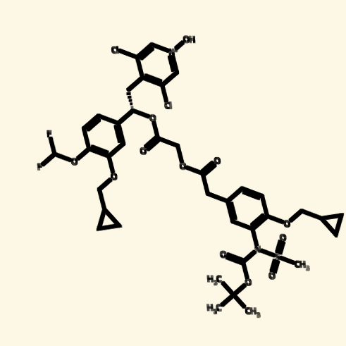 CC(C)(C)OC(=O)N(c1cc(CC(=O)OCC(=O)O[C@@H](Cc2c(Cl)c[n+](O)cc2Cl)c2ccc(OC(F)F)c(OCC3CC3)c2)ccc1OCC1CC1)S(C)(=O)=O